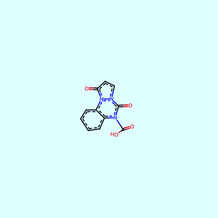 O=C(O)n1c(=O)n2ccc(=O)n2c2ccccc21